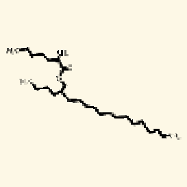 CCCCCCCCCCCCCCC(CCCC)COC(=O)C(C)CCCCC